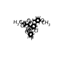 COc1ccc(Cn2c(=O)c(-c3coc(C)n3)c(OS(=O)(=O)c3ccc(F)cc3)c3cc(Cl)ccc32)cc1